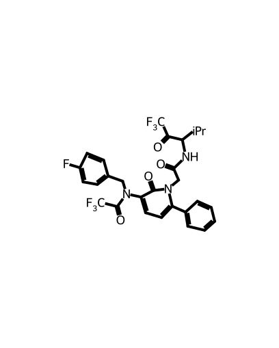 CC(C)C(NC(=O)Cn1c(-c2ccccc2)ccc(N(Cc2ccc(F)cc2)C(=O)C(F)(F)F)c1=O)C(=O)C(F)(F)F